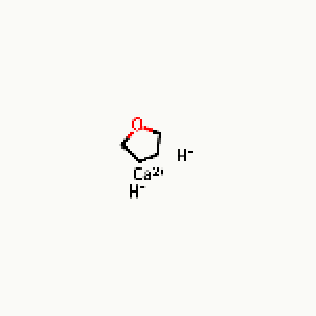 C1CCOC1.[Ca+2].[H-].[H-]